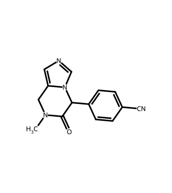 CN1Cc2cncn2C(c2ccc(C#N)cc2)C1=O